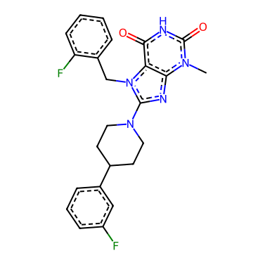 Cn1c(=O)[nH]c(=O)c2c1nc(N1CCC(c3cccc(F)c3)CC1)n2Cc1ccccc1F